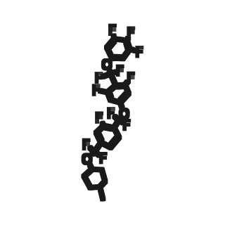 CC1CCC(OC(F)(F)c2ccc(C(F)(F)Oc3cc(F)c(C(F)(F)Oc4cc(F)c(F)c(F)c4)c(F)c3)c(F)c2)CC1